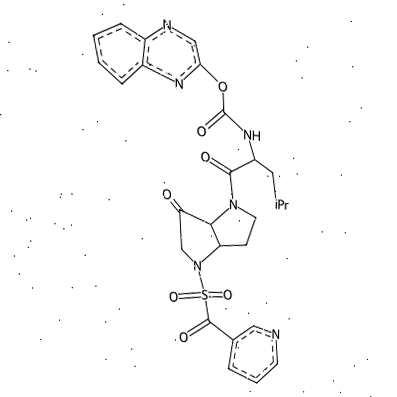 CC(C)CC(NC(=O)Oc1cnc2ccccc2n1)C(=O)N1CCC2C1C(=O)CN2S(=O)(=O)C(=O)c1cccnc1